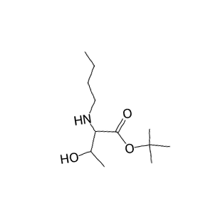 CCCCNC(C(=O)OC(C)(C)C)C(C)O